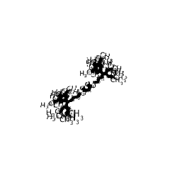 CN1C(C)(C)CC(C(CCCCOC(=O)CC(=O)OCCCCC(c2cc(C(C)(C)C)c(O)c(C(C)(C)C)c2)C2CC(C)(C)N(C)C(C)(C)C2)c2cc(C(C)(C)C)c(O)c(C(C)(C)C)c2)CC1(C)C